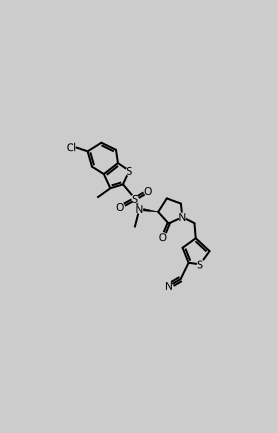 Cc1c(S(=O)(=O)N(C)[C@H]2CCN(Cc3csc(C#N)c3)C2=O)sc2ccc(Cl)cc12